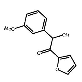 COc1cccc(C(O)C(=O)c2ccco2)c1